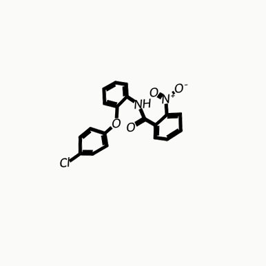 O=C(Nc1ccccc1Oc1ccc(Cl)cc1)c1ccccc1[N+](=O)[O-]